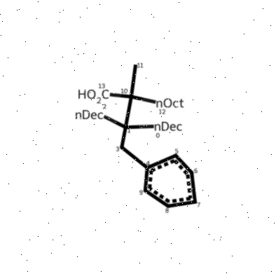 CCCCCCCCCCC(CCCCCCCCCC)(Cc1ccccc1)C(C)(CCCCCCCC)C(=O)O